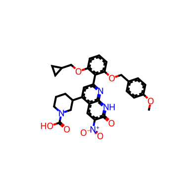 COc1ccc(COc2cccc(OCC3CC3)c2-c2cc(C3CCCN(C(=O)O)C3)c3cc([N+](=O)[O-])c(=O)[nH]c3n2)cc1